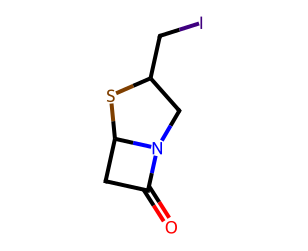 O=C1CC2SC(CI)CN12